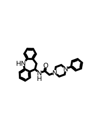 O=C(CN1CCN(c2ccccc2)CC1)NC1Cc2ccccc2Nc2ccccc21